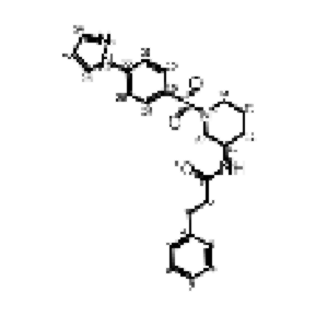 O=C(CCc1ccccc1)NC1CCCN(S(=O)(=O)c2ccc(-n3cccn3)cc2)C1